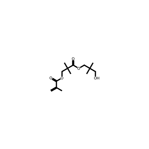 C=C(C)C(=O)OCC(C)(C)C(=O)OCC(C)(C)CO